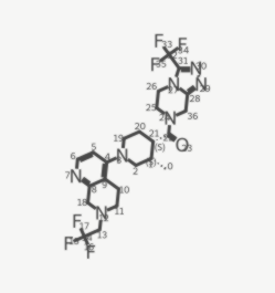 C[C@@H]1CN(c2ccnc3c2CCN(CC(F)(F)F)C3)CC[C@@H]1C(=O)N1CCn2c(nnc2C(F)(F)F)C1